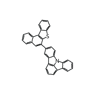 c1ccc2c(c1)cc(-c1ccc3c(c1)c1cccc4c5ccccc5n3c41)c1sc3ccccc3c12